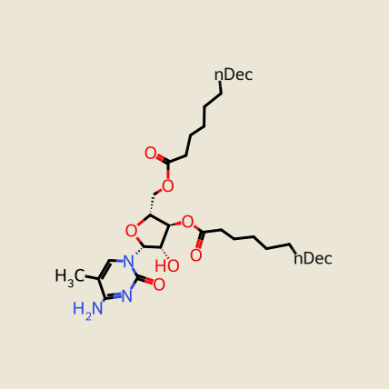 CCCCCCCCCCCCCCCC(=O)OC[C@H]1O[C@@H](n2cc(C)c(N)nc2=O)[C@@H](O)[C@@H]1OC(=O)CCCCCCCCCCCCCCC